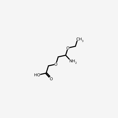 CCOC(N)COCC(=O)O